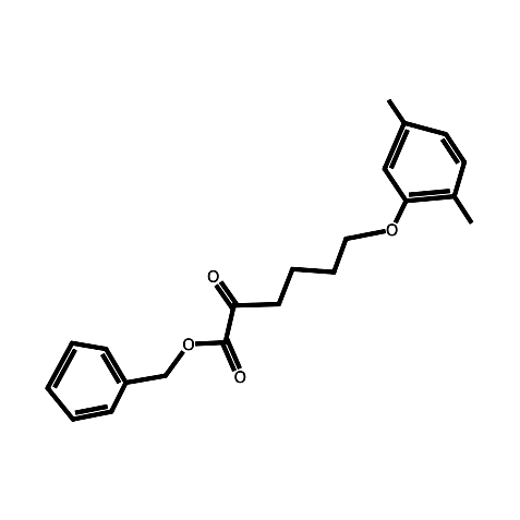 Cc1ccc(C)c(OCCCCC(=O)C(=O)OCc2ccccc2)c1